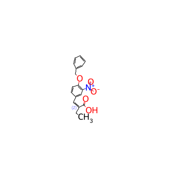 CC/C(=C/c1ccc(OCc2ccccc2)c([N+](=O)[O-])c1)C(=O)O